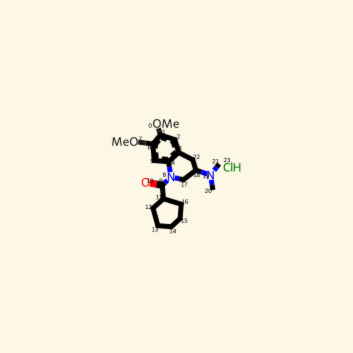 COc1cc2c(cc1OC)N(C(=O)C1CCCCC1)CC(N(C)C)C2.Cl